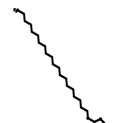 FC(F)(F)CCCCCCCCCCCCCCCCCCCOC1CCCO1